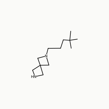 CC(C)(C)CCCN1CC2(CNC2)C1